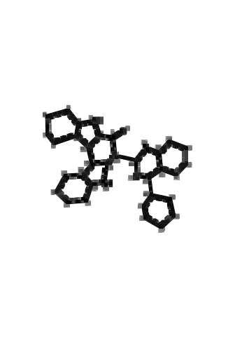 O=c1c2[nH]c3ccccc3c2c2c3ccccc3[nH]c2n1-c1nc(-c2ccccc2)c2ccccc2n1